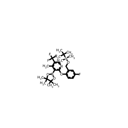 Cc1c(C(F)(F)F)cnc(Oc2ccc(F)cc2CO[Si](C)(C)C(C)(C)C)c1B1OC(C)(C)C(C)(C)O1